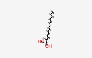 CC=CC=CC=CCC=CC=CC=CC(CO)CCO